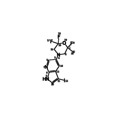 FC1(F)CN(c2cnc3[nH]cc(I)c3c2)CC(F)(F)O1